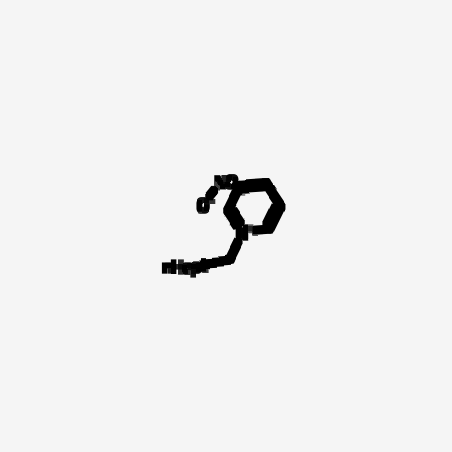 CCCCCCCC[n+]1ccccc1.O=[N+]([O-])[O-]